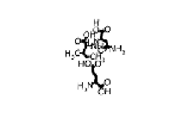 CC[C@H](C)[C@H](N)C(=O)O.NC(=O)C[C@H](N)C(=O)O.N[C@@H](CCC(=O)O)C(=O)O